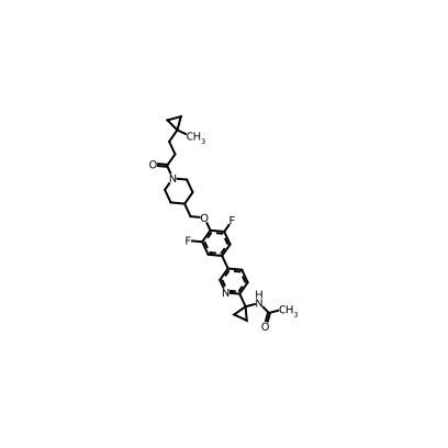 CC(=O)NC1(c2ccc(-c3cc(F)c(OCC4CCN(C(=O)CCC5(C)CC5)CC4)c(F)c3)cn2)CC1